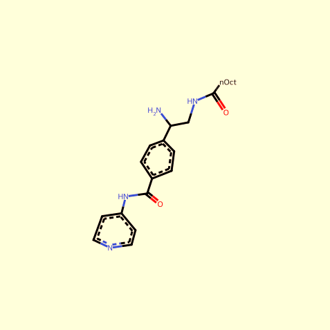 CCCCCCCCC(=O)NCC(N)c1ccc(C(=O)Nc2ccncc2)cc1